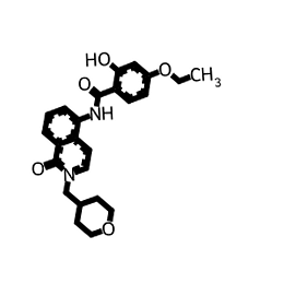 CCOc1ccc(C(=O)Nc2cccc3c(=O)n(CC4CCOCC4)ccc23)c(O)c1